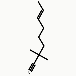 CC=CCCCC(C)(C)C#N